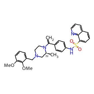 C=C(c1ccc(NS(=O)(=O)c2cccc3cccnc23)cc1)N1CCN(Cc2cccc(OC)c2OC)C[C@@H]1C